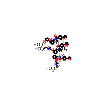 [2H]C(C)(C)N(Cc1ccccc1OC1CCC(OCC(=O)O)C1)C(=O)c1ccc(-c2ccco2)cc1.[2H]C(C)(C)N(Cc1ccccc1OCc1csc(CC(=O)O)n1)C(=O)c1ccc(-c2ccco2)cc1.[2H]C([2H])(c1ccccc1OCc1csc(CC(=O)O)n1)N(C(=O)c1ccc(-c2ccco2)cc1)C(C)C